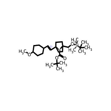 COC1CCC(/C=C/C23CCC(CO[Si](C)(C)C(C)(C)C)(CC2)N3C(=O)OC(C)(C)C)CC1